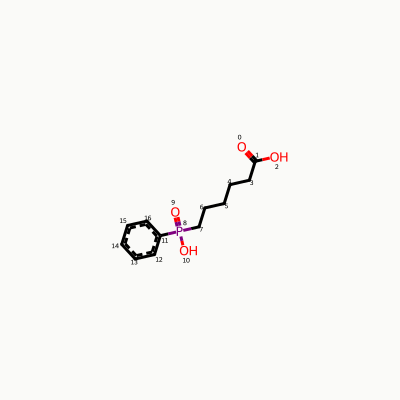 O=C(O)CCCCCP(=O)(O)c1ccccc1